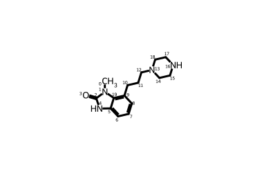 Cn1c(=O)[nH]c2cccc(CCCN3CCNCC3)c21